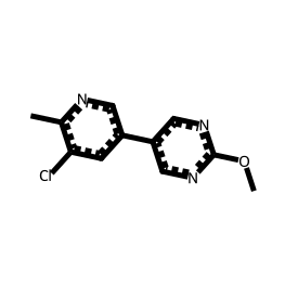 COc1ncc(-c2cnc(C)c(Cl)c2)cn1